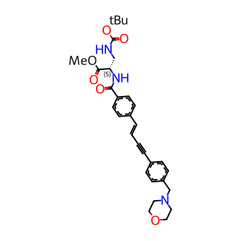 COC(=O)[C@H](CNC(=O)OC(C)(C)C)NC(=O)c1ccc(C=CC#Cc2ccc(CN3CCOCC3)cc2)cc1